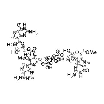 COCCO[C@H]1C(O)[C@@H](COP(=O)(O)OP(=O)(O)OP(=O)(O)OC[C@H]2O[C@@H](n3cnc4c(N)ncnc43)[C@@H](OC)C2OP(=O)(O)OC[C@H]2O[C@@H](n3cnc4c(=O)[nH]c(N)nc43)[C@@H](O)C2O)O[C@H]1n1c[n+](C)c2c(=O)[nH]c(N)nc21